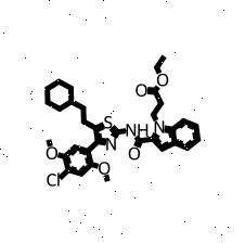 CCOC(=O)CCn1c(C(=O)Nc2nc(-c3cc(OC)c(Cl)cc3OC)c(CCC3CCCCC3)s2)cc2ccccc21